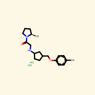 Cl.Cl.N#Cc1ccc(OCC2CCC(NCC(=O)N3CCC[C@H]3C#N)C2)cc1